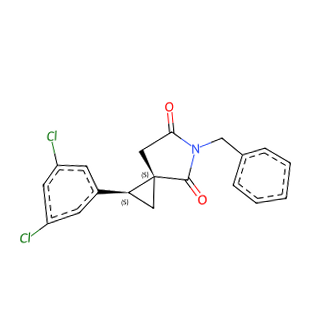 O=C1C[C@]2(C[C@H]2c2cc(Cl)cc(Cl)c2)C(=O)N1Cc1ccccc1